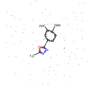 COc1ccc(-c2nnc(C(F)(F)F)o2)cc1C=O